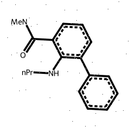 CCCNc1c(C(=O)NC)cccc1-c1ccccc1